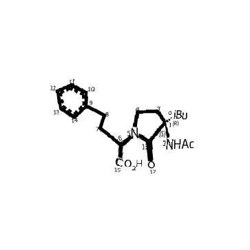 CC[C@@H](C)[C@@]1(NC(C)=O)CCN(C(CCc2ccccc2)C(=O)O)C1=O